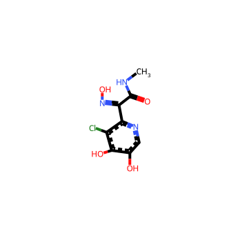 CNC(=O)C(=NO)c1ncc(O)c(O)c1Cl